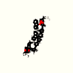 C=Cc1ccc(CC23c4ccccc4-c4ccc(cc42)N(c2ccc4c(c2)C(c2ccccc2)(c2ccccc2)c2cc(N5c6cccc(c6)-c6c(F)c(F)c(F)c(c6F)C6(Cc7ccc(C=C)cc7)c7ccccc7-c7ccc5cc76)ccc2-4)c2cccc(c2)-c2c(F)c(F)c(F)c3c2F)cc1